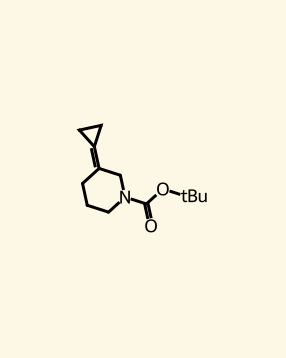 CC(C)(C)OC(=O)N1CCCC(=C2CC2)C1